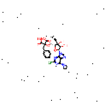 C#C[C@@]1(O)[C@@H](COC(Cc2ccccc2)(C(=O)O)C(=O)O)O[C@@H](n2cnc3c(N4CCC4)nc(Cl)nc32)[C@@H]1O